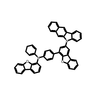 C1=CC(N(c2ccc(-c3cc(-n4c5ccccc5c5cc6ccccc6cc54)cc4c3oc3ccccc34)cc2)c2cccc3c2oc2ccccc23)=CCC1